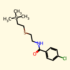 C[Si](C)(C)CCSCCNC(=O)c1ccc(Cl)cc1